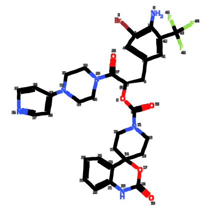 Nc1c(Br)cc(C[C@@H](OC(=O)N2CCC3(CC2)OC(=O)Nc2ccccc23)C(=O)N2CCN(c3ccncc3)CC2)cc1C(F)(F)F